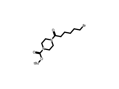 CC(C)(C)OC(=O)N1CCN(C(=O)CCCCCBr)CC1